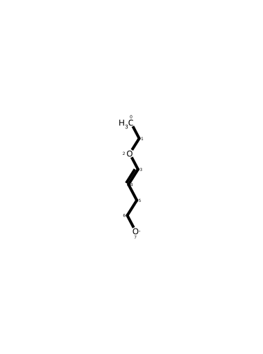 CCOC=CCC[O]